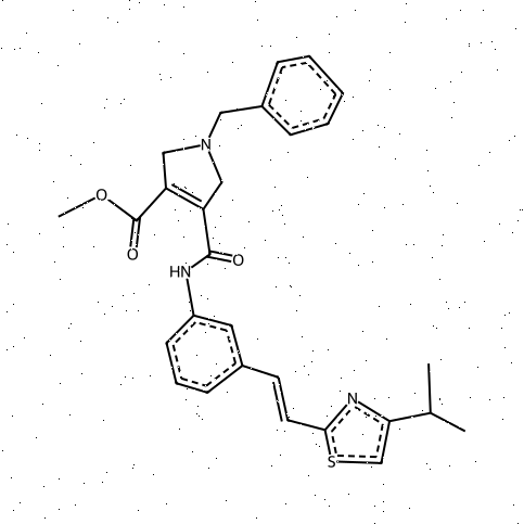 COC(=O)C1=C(C(=O)Nc2cccc(C=Cc3nc(C(C)C)cs3)c2)CN(Cc2ccccc2)C1